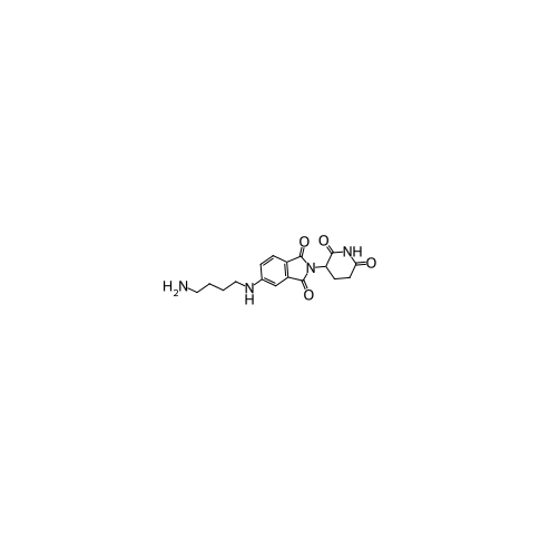 NCCCCNc1ccc2c(c1)C(=O)N(C1CCC(=O)NC1=O)C2=O